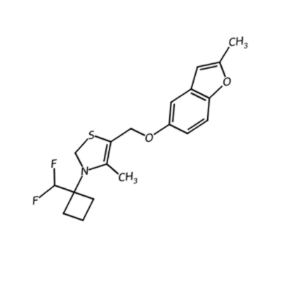 CC1=C(COc2ccc3oc(C)cc3c2)SCN1C1(C(F)F)CCC1